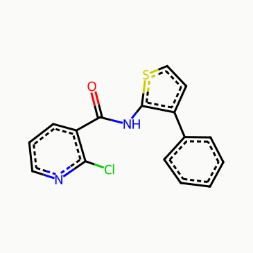 O=C(Nc1sccc1-c1ccccc1)c1cccnc1Cl